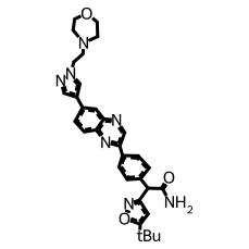 CC(C)(C)c1cc(C(C(N)=O)c2ccc(-c3cnc4cc(-c5cnn(CCN6CCOCC6)c5)ccc4n3)cc2)no1